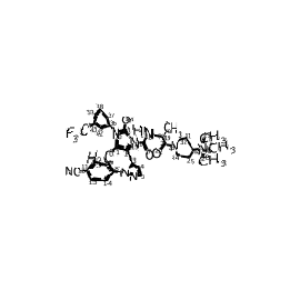 Cc1c(-c2ccnn2-c2ccc(C#N)cc2)n(C(=O)N[C@@H](C)C(=O)N2CCC([N+](C)(C)C)CC2)c(=O)n1-c1cccc(C(F)(F)F)c1